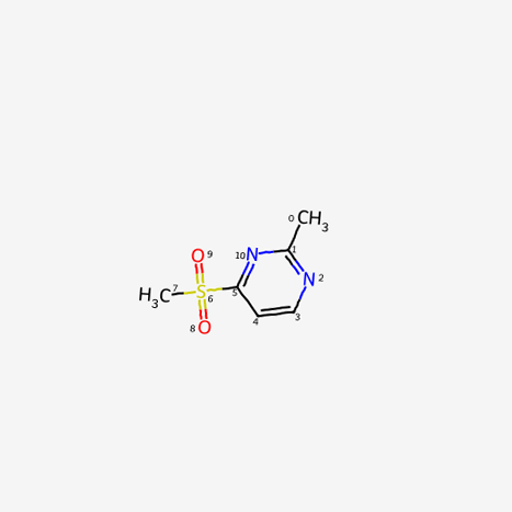 Cc1nccc(S(C)(=O)=O)n1